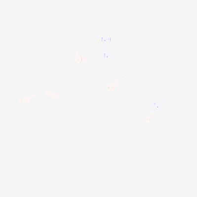 Cc1ccc(C[N+]2([O-])C=CC3=C(C2)C(=O)C(=NNc2cccc(-c4cccc(C(=O)O)c4)c2O)C=C3)cc1